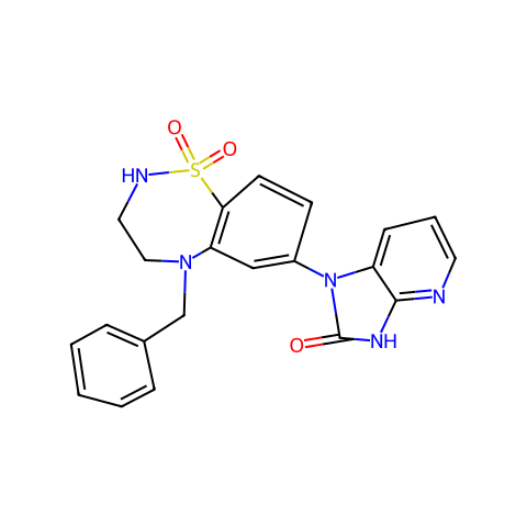 O=c1[nH]c2ncccc2n1-c1ccc2c(c1)N(Cc1ccccc1)CCNS2(=O)=O